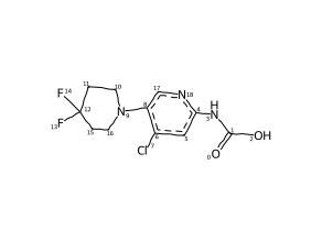 O=C(O)Nc1cc(Cl)c(N2CCC(F)(F)CC2)cn1